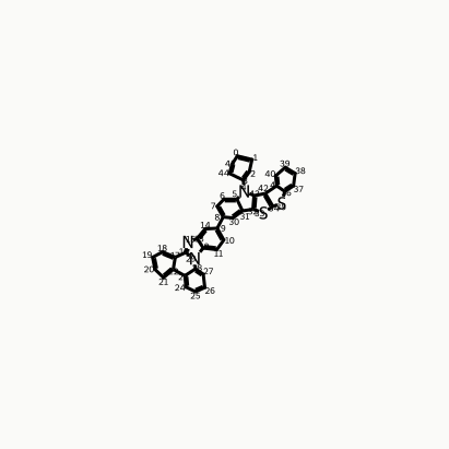 c1ccc(-n2c3ccc(-c4ccc5c(c4)nc4c6ccccc6c6ccccc6n54)cc3c3sc4sc5ccccc5c4c32)cc1